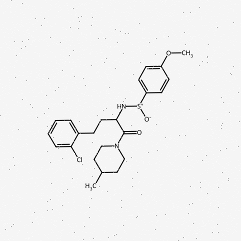 COc1ccc([S+]([O-])NC(CCc2ccccc2Cl)C(=O)N2CCC(C)CC2)cc1